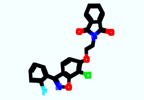 O=C1c2ccccc2C(=O)N1CCOc1ccc2c(-c3ccccc3F)noc2c1Cl